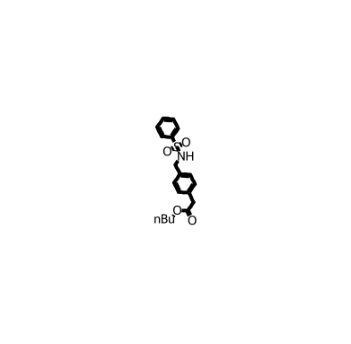 CCCCOC(=O)Cc1ccc(CNS(=O)(=O)c2ccccc2)cc1